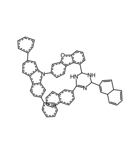 C1=CC2C=CC(C3N=C(c4ccc5ccccc5c4)NC(c4cccc5oc6cc(-n7c8cc(-c9ccccc9)ccc8c8ccc(-c9ccccc9)cc87)ccc6c45)N3)=CC2C=C1